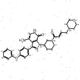 Nc1n[nH]c(=O)c2c1c(-c1ccc(Oc3ccccc3)cc1)nn2C1CCCN(C(=O)/C=C/CN2CCOCC2)C1